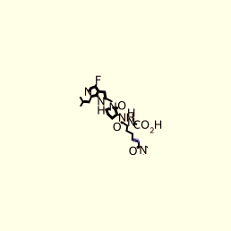 CC(C)=Cc1ncc(F)c2cc(Cn3cccc(NC(=O)C(CC/C=C/C(=O)N(C)C)NC(=O)O)c3=O)[nH]c12